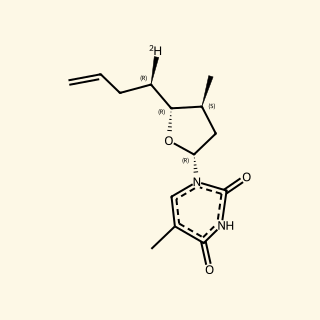 [2H][C@H](CC=C)[C@H]1O[C@@H](n2cc(C)c(=O)[nH]c2=O)C[C@@H]1C